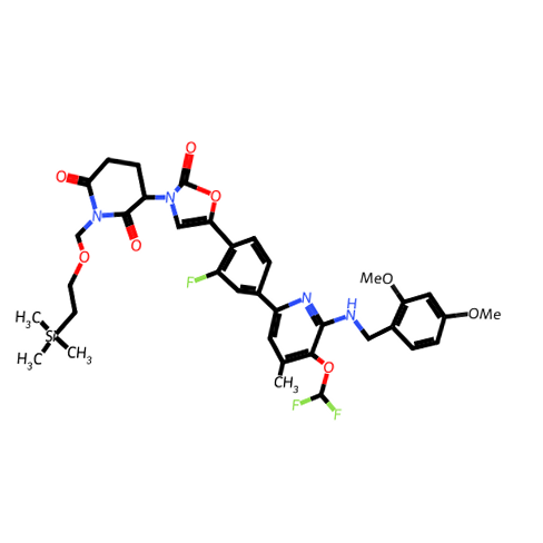 COc1ccc(CNc2nc(-c3ccc(-c4cn(C5CCC(=O)N(COCC[Si](C)(C)C)C5=O)c(=O)o4)c(F)c3)cc(C)c2OC(F)F)c(OC)c1